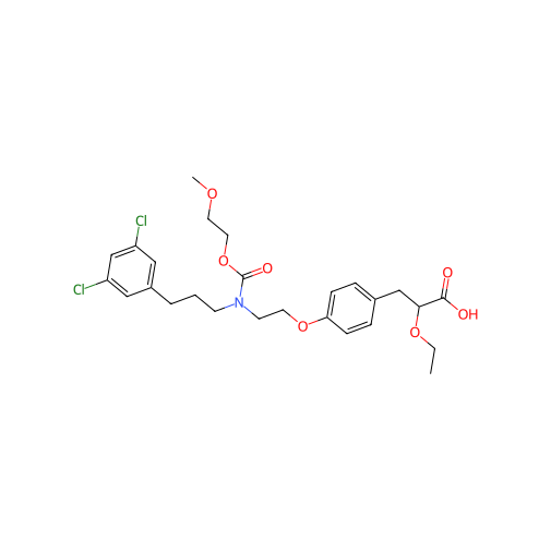 CCOC(Cc1ccc(OCCN(CCCc2cc(Cl)cc(Cl)c2)C(=O)OCCOC)cc1)C(=O)O